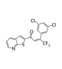 O=C(C=C(c1cc(Cl)cc(Cl)c1)C(F)(F)F)c1cc2cccnc2s1